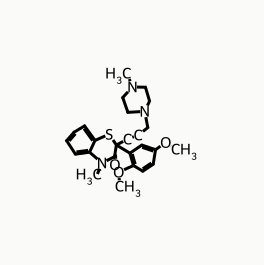 COc1ccc(OC)c(C2(CCCN3CCN(C)CC3)Sc3ccccc3N(C)C2=O)c1